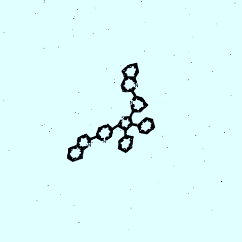 c1ccc(-c2c(-c3ccc(-c4ccc5ccccc5n4)nc3)sc(-c3cccc(-c4ccc5ccccc5n4)n3)c2-c2ccccc2)cc1